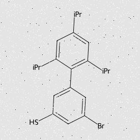 CC(C)c1cc(C(C)C)c(-c2cc(S)cc(Br)c2)c(C(C)C)c1